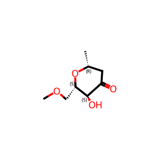 COC[C@@H]1O[C@H](C)CC(=O)[C@H]1O